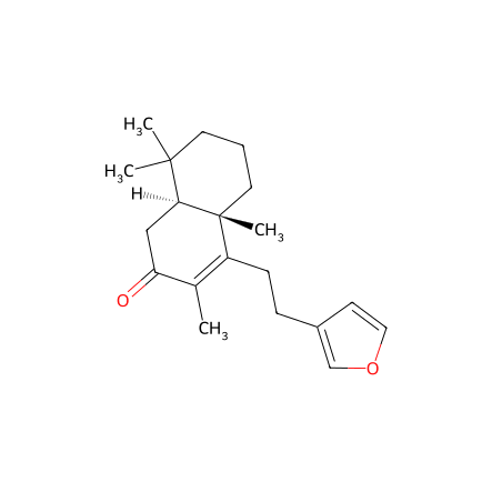 CC1=C(CCc2ccoc2)[C@@]2(C)CCCC(C)(C)[C@@H]2CC1=O